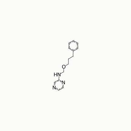 c1ccc(CCCOCNc2cnccn2)cc1